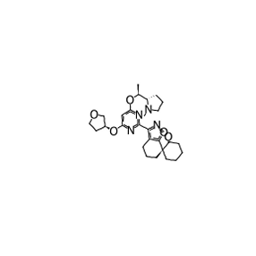 C[C@H](Oc1cc(O[C@H]2CCOC2)nc(-c2noc3c2CCC[C@@]32CCCCC2=O)n1)[C@@H]1CCCN1C